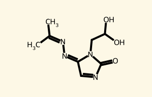 CC(C)=NN=C1C=NC(=O)N1CC(O)O